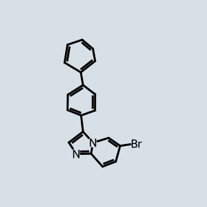 Brc1ccc2ncc(-c3ccc(-c4ccccc4)cc3)n2c1